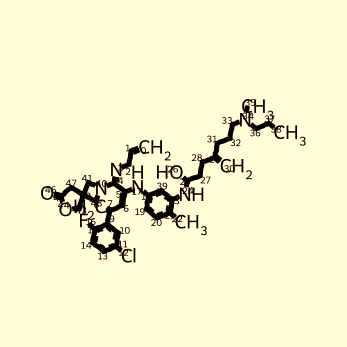 C=CC/N=C(\C(=C/C(=C)c1cc(Cl)ccc1F)Nc1ccc(C)c(NC(O)CCC(=C)CCCN(C)CCC)c1)N1CC2(COC(=O)C2)C1